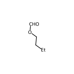 CCCCOC=O